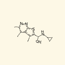 Cc1nnc2sc(C(O)NC3CC3)c(C)c2c1C